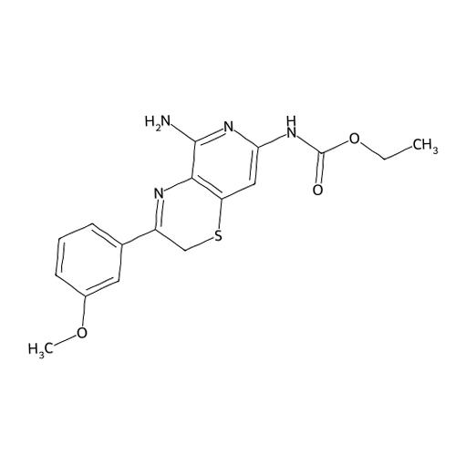 CCOC(=O)Nc1cc2c(c(N)n1)N=C(c1cccc(OC)c1)CS2